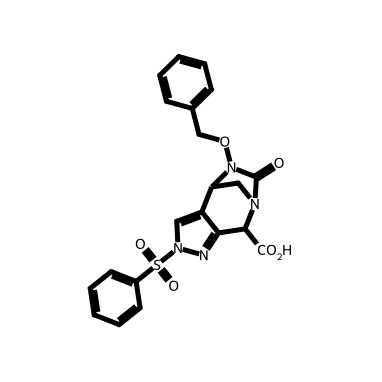 O=C(O)C1c2nn(S(=O)(=O)c3ccccc3)cc2C2CN1C(=O)N2OCc1ccccc1